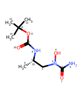 C[C@@H](CN(O)C(N)=O)NC(=O)OC(C)(C)C